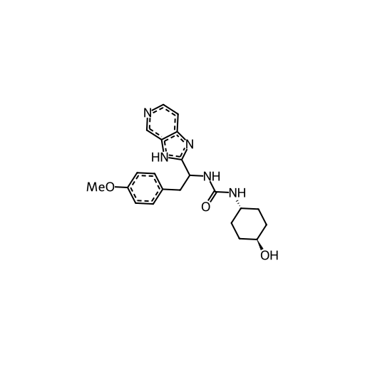 COc1ccc(CC(NC(=O)N[C@H]2CC[C@H](O)CC2)c2nc3ccncc3[nH]2)cc1